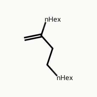 C=C(CCCCCC)CCCCCCCC